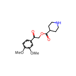 COc1ccc(C(=O)COC(=O)C2CCNCC2)cc1OC